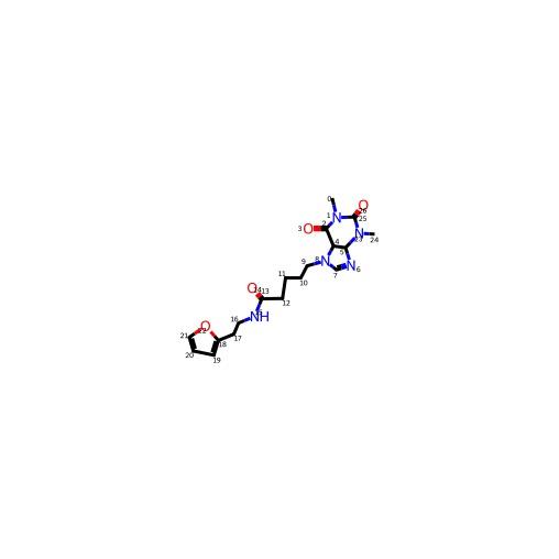 CN1C(=O)C2C(N=CN2CCCCC(=O)NCCc2ccco2)N(C)C1=O